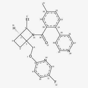 CCC1[C@@H]2CCC2(COc2ccc(F)cn2)N1C(=O)c1cc(C)ccc1-c1ccncc1